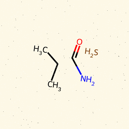 CCC.NC=O.S